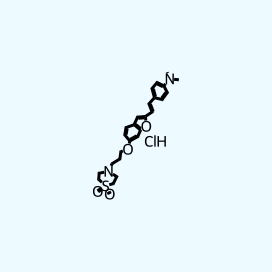 CN(C)c1ccc(/C=C/c2cc3ccc(OCCCN4CCS(=O)(=O)CC4)cc3o2)cc1.Cl